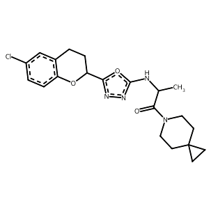 CC(Nc1nnc(C2CCc3cc(Cl)ccc3O2)o1)C(=O)N1CCC2(CC1)CC2